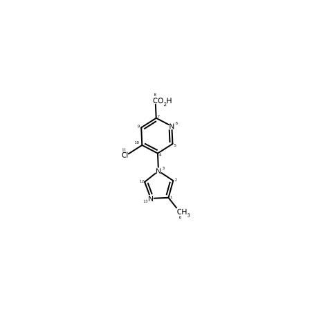 Cc1cn(-c2cnc(C(=O)O)cc2Cl)cn1